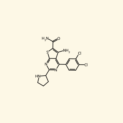 NC(=O)c1sc2nc(C3CCCN3)nc(-c3ccc(Cl)c(Cl)c3)c2c1N